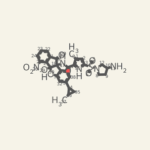 Cc1cc(S(=O)(=O)N2CCC(N)C2)[nH]c1C(=O)NC12C(=O)c3cccc([N+](=O)[O-])c3C1(O)Oc1cc(C3CC3C)ccc12